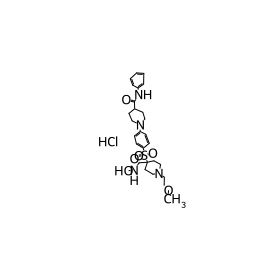 COCCN1CCC(C(=O)NO)(S(=O)(=O)c2ccc(N3CCC(C(=O)Nc4ccccc4)CC3)cc2)CC1.Cl